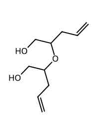 C=CCC(CO)OC(CO)CC=C